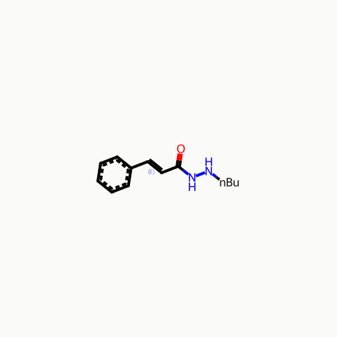 CCCCNNC(=O)/C=C/c1ccccc1